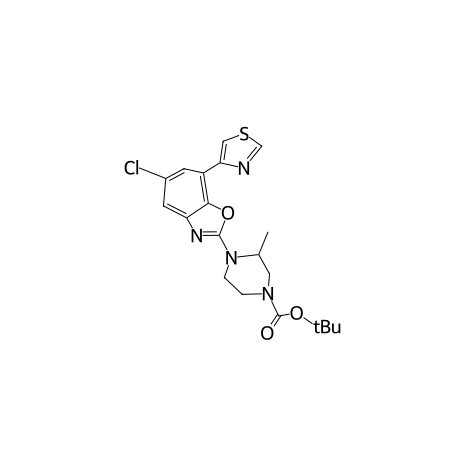 CC1CN(C(=O)OC(C)(C)C)CCN1c1nc2cc(Cl)cc(-c3cscn3)c2o1